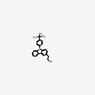 CC(C)(C)c1ccc(-[s+]2c3ccccc3c3cc(CCO)ccc32)cc1